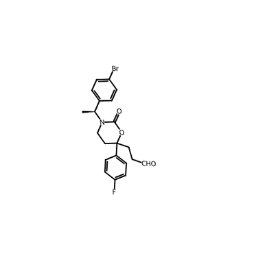 C[C@@H](c1ccc(Br)cc1)N1CCC(CCC=O)(c2ccc(F)cc2)OC1=O